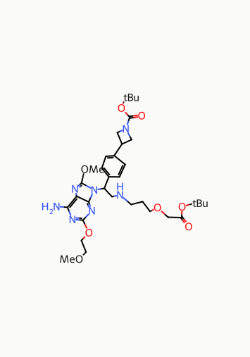 COCCOc1nc(N)c2nc(OC)n(C(CNCCCOCC(=O)OC(C)(C)C)c3ccc(C4CN(C(=O)OC(C)(C)C)C4)cc3)c2n1